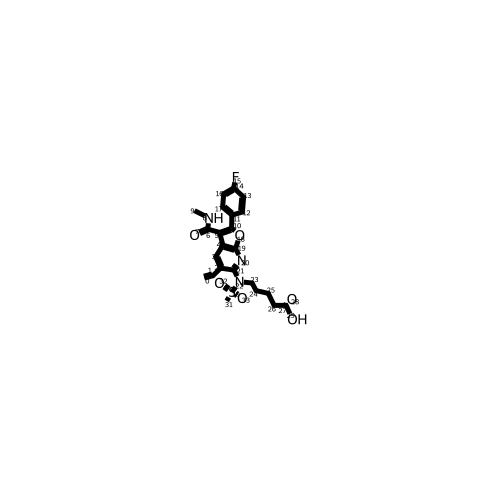 C=Cc1cc2c(C(=O)NC)c(-c3ccc(F)cc3)oc2nc1N(CCCCC(=O)O)S(C)(=O)=O